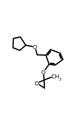 CC1(Oc2ccccc2COC2CCCC2)CO1